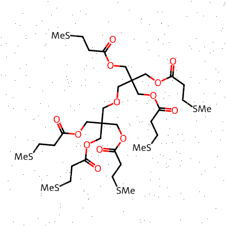 CSCCC(=O)OCC(COCC(COC(=O)CCSC)(COC(=O)CCSC)COC(=O)CCSC)(COC(=O)CCSC)COC(=O)CCSC